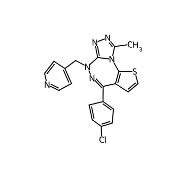 Cc1nnc2n1-c1sccc1C(c1ccc(Cl)cc1)=NN2Cc1ccncc1